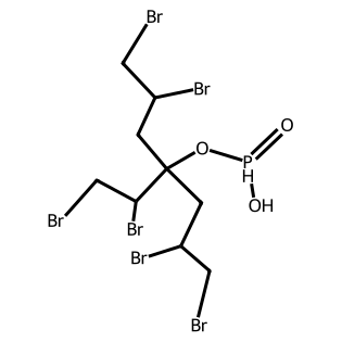 O=[PH](O)OC(CC(Br)CBr)(CC(Br)CBr)C(Br)CBr